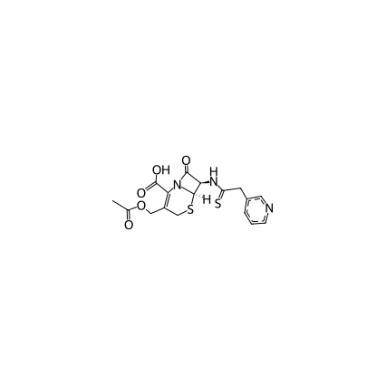 CC(=O)OCC1=C(C(=O)O)N2C(=O)[C@@H](NC(=S)Cc3cccnc3)[C@H]2SC1